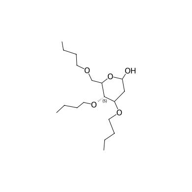 CCCCOCC1OC(O)CC(OCCCC)[C@@H]1OCCCC